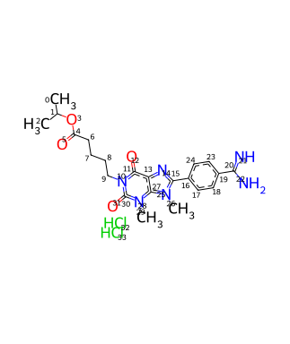 CC(C)OC(=O)CCCCn1c(=O)c2nc(-c3ccc(C(=N)N)cc3)n(C)c2n(C)c1=O.Cl.Cl